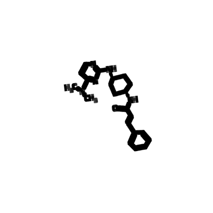 CN(C)c1ccnc(N[C@H]2CC[C@@H](NC(=O)C=Cc3ccccc3)CC2)n1